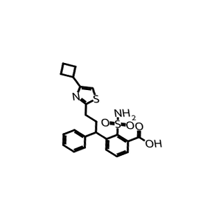 NS(=O)(=O)c1c(C(=O)O)cccc1C(CCc1nc(C2CCC2)cs1)c1ccccc1